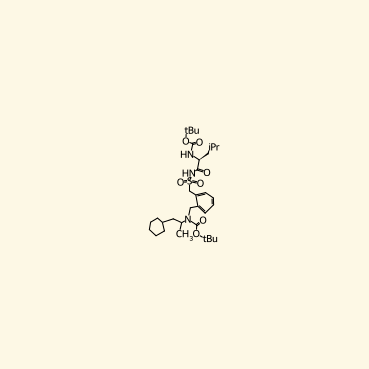 CC(C)C[C@H](NC(=O)OC(C)(C)C)C(=O)NS(=O)(=O)Cc1ccccc1CN(C(=O)OC(C)(C)C)C(C)CC1CCCCC1